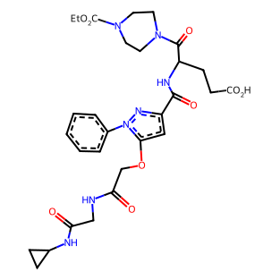 CCOC(=O)N1CCN(C(=O)C(CCC(=O)O)NC(=O)c2cc(OCC(=O)NCC(=O)NC3CC3)n(-c3ccccc3)n2)CC1